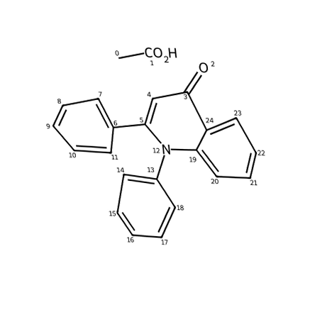 CC(=O)O.O=c1cc(-c2ccccc2)n(-c2ccccc2)c2ccccc12